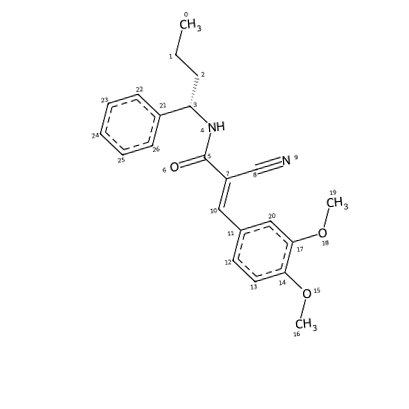 CCC[C@H](NC(=O)/C(C#N)=C/c1ccc(OC)c(OC)c1)c1ccccc1